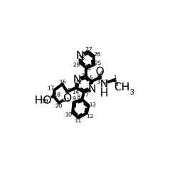 CCNC(=O)c1nc(-c2ccccc2)c(C2CCC(O)CO2)nc1-c1cccnc1